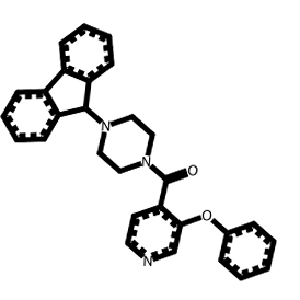 O=C(c1ccncc1Oc1ccccc1)N1CCN(C2c3ccccc3-c3ccccc32)CC1